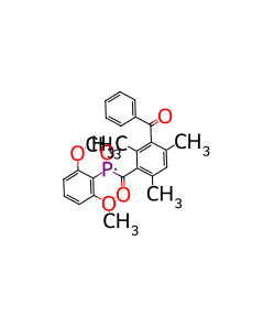 COc1cccc(OC)c1[P](=O)C(=O)c1c(C)cc(C)c(C(=O)c2ccccc2)c1C